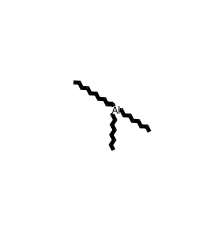 CCCCCCCCC=[CH][Al]([CH2]CCCCCCC)[CH2]CCCCCCC